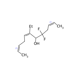 C/C=C\CC=C(CC)C(O)C(F)(F)C/C=C\C